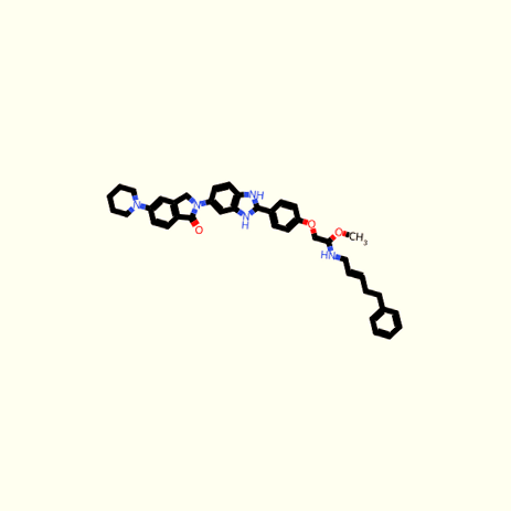 COC(COc1ccc(C2Nc3ccc(N4Cc5cc(N6CCCCC6)ccc5C4=O)cc3N2)cc1)NC/C=C/CCc1ccccc1